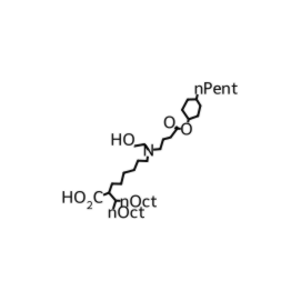 CCCCCCCCC(CCCCCCCC)C(CCCCCCN(CCO)CCCC(=O)OC1CCC(CCCCC)CC1)C(=O)O